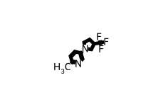 Cc1ccc(N2CCC(C(F)(F)F)C2)cn1